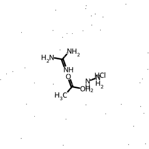 CC(=O)O.Cl.N=C(N)N.NN